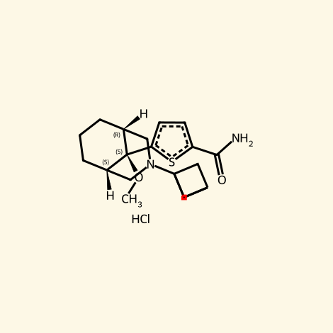 CO[C@]1(c2ccc(C(N)=O)s2)[C@@H]2CCC[C@H]1CN(C13CC(C1)C3)C2.Cl